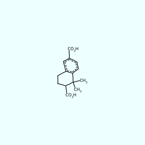 CC1(C)c2ccc(C(=O)O)cc2CCC1C(=O)O